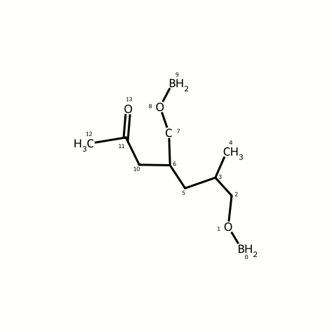 BOCC(C)CC(COB)CC(C)=O